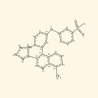 CS(=O)(=O)c1cccc(Oc2cccc(-c3c(-c4nnn[nH]4)cnc4c(C(F)(F)F)cccc34)c2)c1